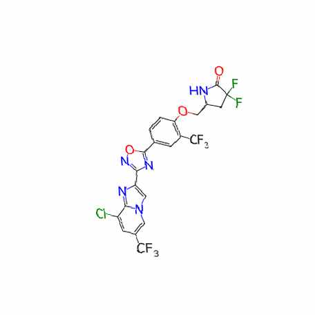 O=C1NC(COc2ccc(-c3nc(-c4cn5cc(C(F)(F)F)cc(Cl)c5n4)no3)cc2C(F)(F)F)CC1(F)F